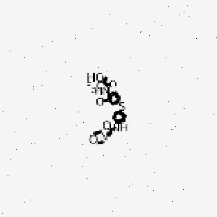 C[C@@](O)(C(=O)Nc1ccc(Sc2ccc(NC(=O)CN3CCOCC3)cc2)cc1Cl)C(F)(F)F